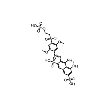 COc1cc(S(=O)(=O)CCOS(=O)(=O)O)c(OC)cc1/N=N/c1c(S(=O)(=O)O)cc2cc(S(=O)(=O)O)cc(O)c2c1N